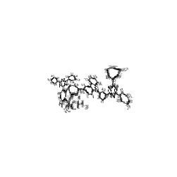 CC1(C)c2cc(-c3ccc4c(c3)c3ccccc3n4-c3cccc(-c4nc(-c5ccccc5)nc(-c5ccccc5)n4)c3)ccc2-c2c(-c3nc(-c4ccccc4)nc(-c4ccccc4)n3)cccc21